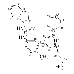 Cc1ccc(NC(=O)N[C@H]2CCc3ccccc32)cc1-c1cc(OCCO)nc(N2CCOCC2)c1